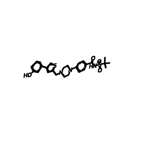 CC(C)(C)S(=O)(=O)NC(=O)c1ccc(N2CCN(Cc3cc(-c4cccc(O)c4)cs3)CC2)cc1